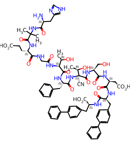 C[C@@H](O)[C@H](NC(=O)CNC(=O)[C@H](CCC(=O)O)NC(=O)C(C)(C)NC(=O)[C@@H](N)Cc1c[nH]cn1)C(=O)N[C@@H](Cc1ccccc1)C(=O)N[C@](C#N)(C(=O)N[C@@H](CO)C(=O)N[C@@H](CC(=O)O)C(=O)N[C@@H](Cc1ccc(-c2ccccc2)cc1)C(=O)N[C@@H](Cc1ccc(-c2ccccc2)cc1)C(=O)O)[C@@H](C)O